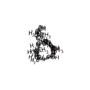 CO[C@@H]1CC(CC(C)[C@@H]2CC(=O)[C@H](C)/C=C(\C)[C@@H](O)[C@@H](OC)C(=O)[C@H](C)C[C@H](C)/C=C/C=C/C=C(\C)[C@@H](CO)C[C@@H]3CC[C@@H](C)[C@@](O)(O3)C(=O)C(=O)N3CCCC[C@H]3C(=O)O2)CC[C@H]1OC(=O)C(C)(CO)CO